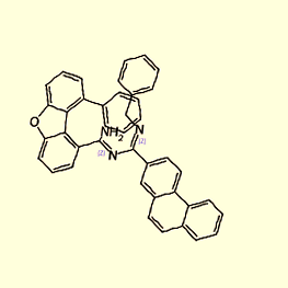 N/C(=N\C(=N/Cc1ccccc1)c1ccc2c(ccc3ccccc32)c1)c1cccc2oc3cccc(-c4ccccc4)c3c12